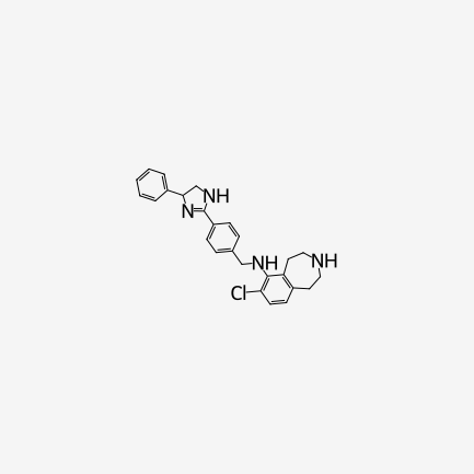 Clc1ccc2c(c1NCc1ccc(C3=NC(c4ccccc4)CN3)cc1)CCNCC2